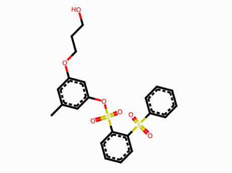 Cc1cc(OCCCO)cc(OS(=O)(=O)c2ccccc2S(=O)(=O)c2ccccc2)c1